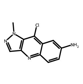 Cn1ncc2nc3ccc(N)cc3c(Cl)c21